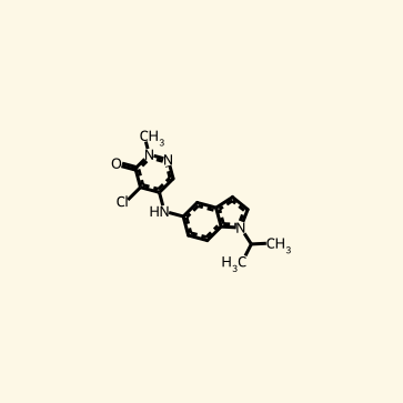 CC(C)n1ccc2cc(Nc3cnn(C)c(=O)c3Cl)ccc21